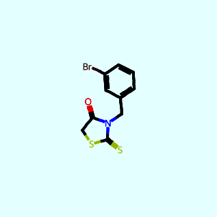 O=C1CSC(=S)N1Cc1cccc(Br)c1